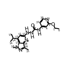 CCOc1cc(NC(=O)NNc2cc(C(C)C)c3c(n2)c(C)nn3C)ccn1